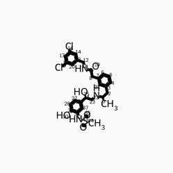 C[C@H](Cc1cccc(CC(=O)NCc2cc(Cl)cc(Cl)c2)c1)NC[C@H](O)c1ccc(O)c(NS(C)(=O)=O)c1